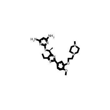 CCc1sc(-c2ccc(OC)c(OCCN3CCN(C)CC3)c2)nc1[C@H](C)Sc1nc(N)cc(N)n1